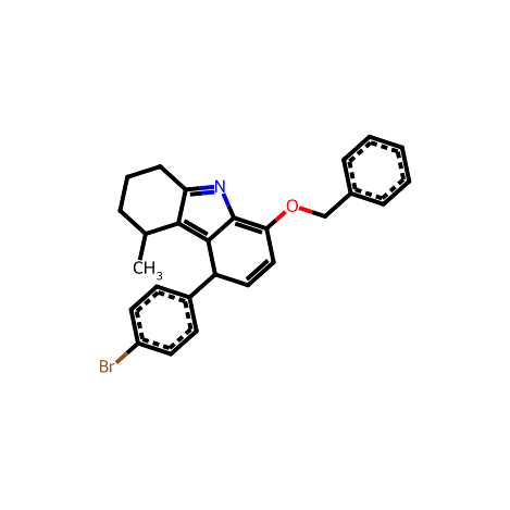 CC1CCCC2=NC3=C(OCc4ccccc4)C=CC(c4ccc(Br)cc4)C3=C21